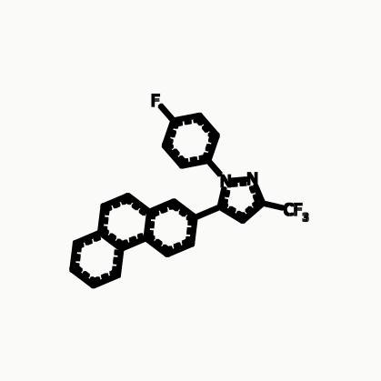 Fc1ccc(-n2nc(C(F)(F)F)cc2-c2ccc3c(ccc4ccccc43)c2)cc1